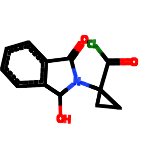 O=C1c2ccccc2C(O)N1C1(C(=O)Cl)CC1